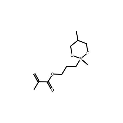 C=C(C)C(=O)OCCC[Si]1(C)OCC(C)CO1